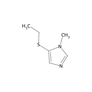 CCSc1cncn1C